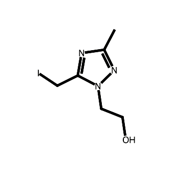 Cc1nc(CI)n(CCO)n1